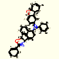 c1ccc(C2=NC3c4ccc(N(c5ccccc5)c5ccc6oc7ccccc7c6c5)c5cccc(c45)C3O2)cc1